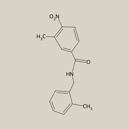 Cc1ccccc1CNC(=O)c1ccc([N+](=O)[O-])c(C)c1